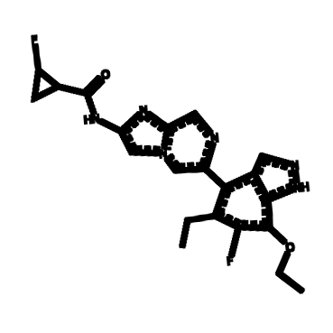 CCOc1c(F)c(CC)c(-c2cn3cc(NC(=O)C4CC4F)nc3cn2)c2cn[nH]c12